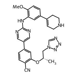 COc1ccc(C2=CCNCC2)cc1Nc1ncc(-c2ccc(C#N)c(O[C@@H](C)Cn3cnnn3)c2)cn1